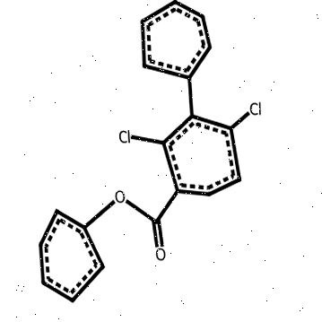 O=C(Oc1ccccc1)c1ccc(Cl)c(-c2ccccc2)c1Cl